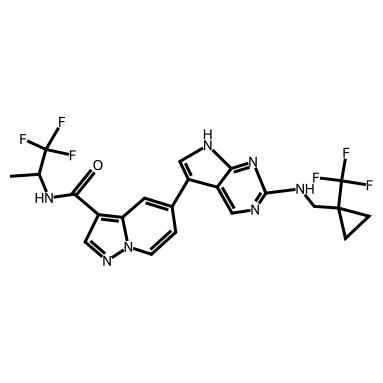 CC(NC(=O)c1cnn2ccc(-c3c[nH]c4nc(NCC5(C(F)(F)F)CC5)ncc34)cc12)C(F)(F)F